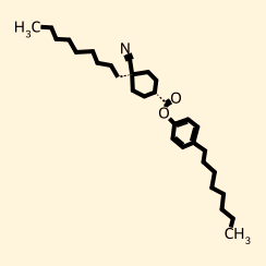 CCCCCCCCC[C@]1(C#N)CC[C@H](C(=O)Oc2ccc(CCCCCCCC)cc2)CC1